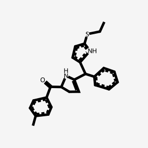 CCSc1ccc(C(C2=CCC(C(=O)c3ccc(C)cc3)N2)c2ccccc2)[nH]1